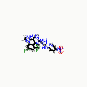 O=[N+]([O-])c1ccc(NCCNc2ncc(-c3ncc[nH]3)c(-c3ccc(F)cc3C(F)(F)F)n2)nc1